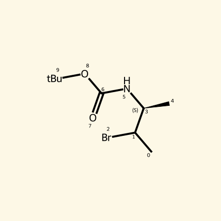 CC(Br)[C@H](C)NC(=O)OC(C)(C)C